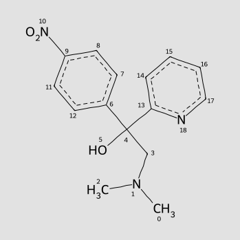 CN(C)CC(O)(c1ccc([N+](=O)[O-])cc1)c1ccccn1